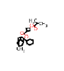 C=C(C)C(=O)OC1CC(C(=O)OC2(C3CCCCC3)C3CC4CC2CC(C)(C4)C3)C1